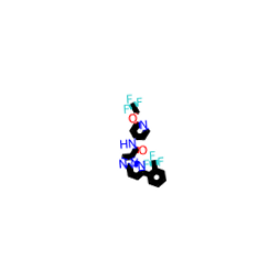 O=C(Nc1ccnc(OCC(F)(F)F)c1)c1cnc2ccc(-c3ccccc3C(F)(F)F)nn12